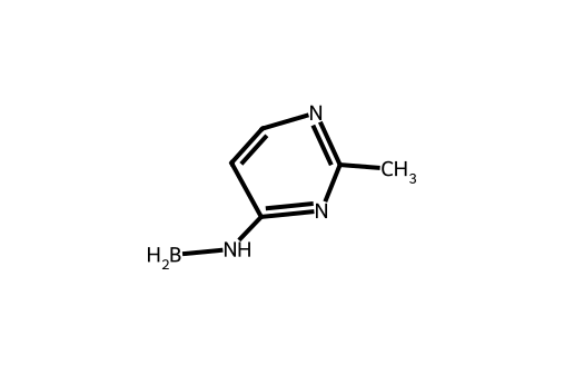 BNc1ccnc(C)n1